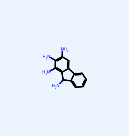 Nc1cc2c(c(N)c1N)C(N)c1ccccc1-2